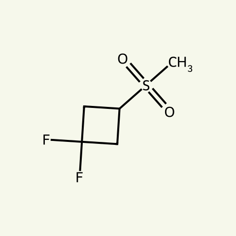 CS(=O)(=O)C1CC(F)(F)C1